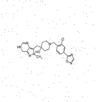 Cn1nc2c(c1CC1(O)CCN(Cc3ccc(-c4ncno4)cc3Cl)CC1)N=CNC2